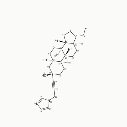 CC[C@H]1CC[C@H]2[C@@H]3CC[C@@H]4C[C@@](O)(C#CCn5ccnc5)CC[C@]4(C)[C@H]3CC[C@]12C